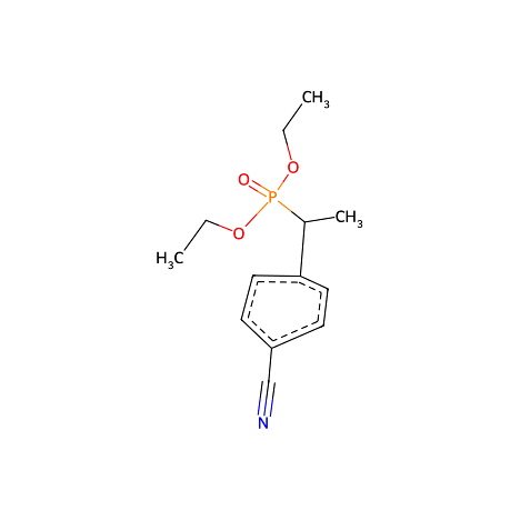 CCOP(=O)(OCC)C(C)c1ccc(C#N)cc1